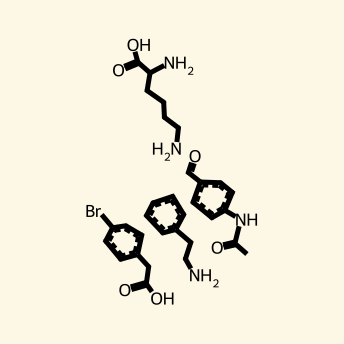 CC(=O)Nc1ccc(C=O)cc1.NCCCCC(N)C(=O)O.NCCc1ccccc1.O=C(O)Cc1ccc(Br)cc1